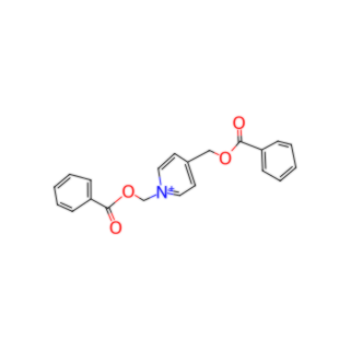 O=C(OCc1cc[n+](COC(=O)c2ccccc2)cc1)c1ccccc1